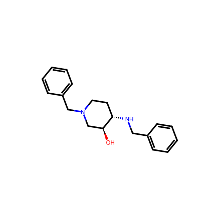 O[C@H]1CN(Cc2ccccc2)CC[C@@H]1NCc1ccccc1